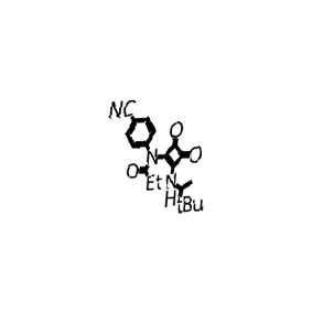 CCC(=O)N(c1ccc(C#N)cc1)c1c(NC(C)C(C)(C)C)c(=O)c1=O